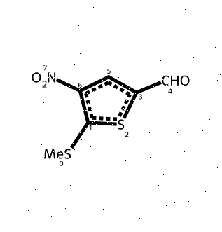 CSc1sc(C=O)cc1[N+](=O)[O-]